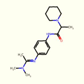 C/C(=N\c1ccc(NC(=O)C(C)N2CCCCC2)cc1)N(C)C